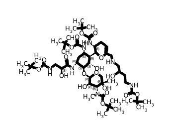 CN(C(=O)OC(C)(C)C)[C@@H]1[C@@H](O)[C@@H](O[C@@H]2[C@@H](O)[C@H](C3OC(CNCC(O)CCNC(=O)OC(C)(C)C)=CC[C@H]3NC(=O)OC(C)(C)C)[C@@H](NC(=O)OC(C)(C)C)C[C@H]2NC(=O)[C@@H](O)CNC(=O)OC(C)(C)C)OC[C@]1(C)O